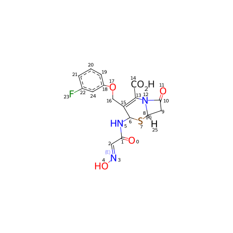 O=C(/C=N/O)NC1S[C@@H]2CC(=O)N2C(C(=O)O)=C1COc1cccc(F)c1